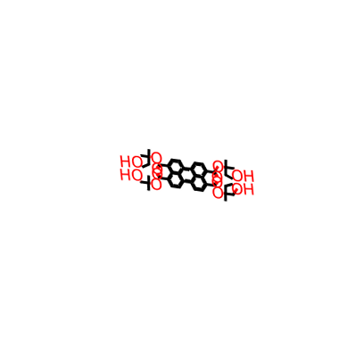 CCC(C)(CO)OC(=O)c1ccc2c3ccc(C(=O)OC(C)(CC)CO)c4c(C(=O)OC(C)(CC)CO)ccc(c5ccc(C(=O)OC(C)(C)CO)c1c52)c43